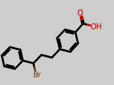 O=C(O)c1ccc(CCC(Br)c2ccccc2)cc1